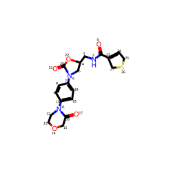 O=C(NCC1CN(c2ccc(N3CCOCC3=O)cc2)C(=O)O1)C1=CCSC1